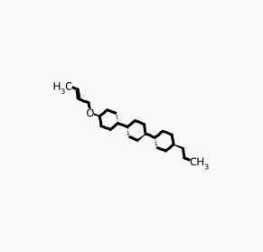 CC=CCO[C@H]1CC[C@H]([C@H]2CC[C@H]([C@H]3CC[C@H](CCC)CC3)CC2)CC1